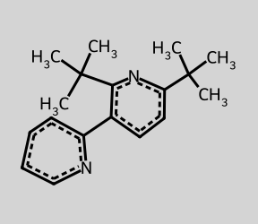 CC(C)(C)c1ccc(-c2ccccn2)c(C(C)(C)C)n1